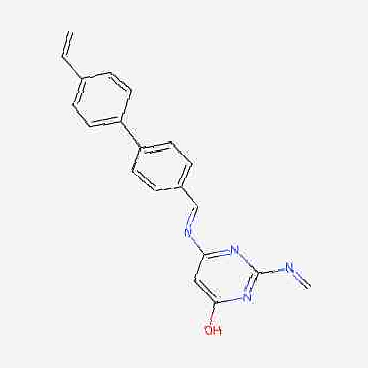 C=Cc1ccc(-c2ccc(C=Nc3cc(O)nc(N=C)n3)cc2)cc1